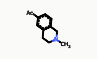 CC(=O)c1ccc2c(c1)CCN(C)C2